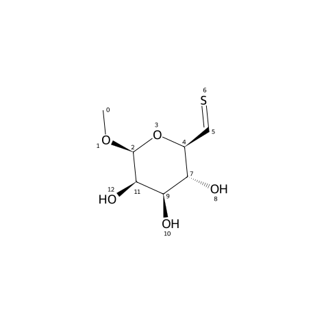 CO[C@H]1O[C@@H](C=S)[C@H](O)[C@@H](O)[C@H]1O